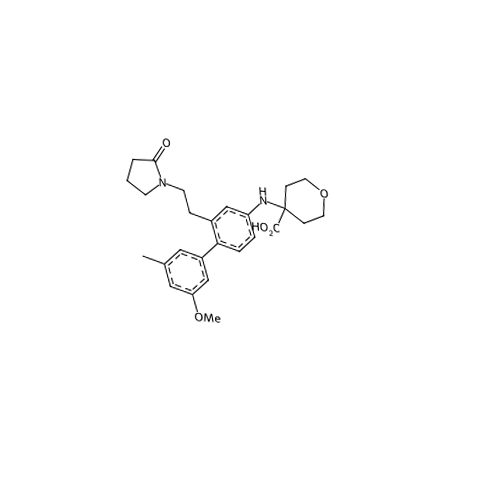 COc1cc(C)cc(-c2ccc(NC3(C(=O)O)CCOCC3)cc2CCN2CCCC2=O)c1